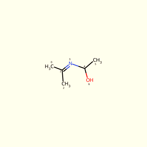 CC(C)=NC(C)O